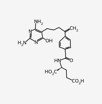 C=C(CCCc1c(N)nc(N)nc1O)c1ccc(C(=O)N[C@@H](CCC(=O)O)C(=O)O)cc1